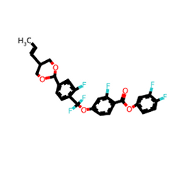 C/C=C/C1COC(c2ccc(C(F)(F)Oc3ccc(C(=O)Oc4ccc(F)c(F)c4)c(F)c3)c(F)c2)OC1